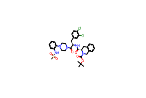 CC(C)(C)OC(=O)N1Cc2ccccc2C[C@H]1C(=O)N[C@H](Cc1ccc(Cl)c(Cl)c1)C(=O)N1CCN(c2ccccc2NS(C)(=O)=O)CC1